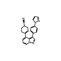 N#CC1CC=C(c2cccn3ncc(-c4ccc(-n5cccn5)cc4)c23)CC1